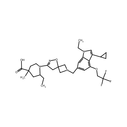 CCC1CC(C)(C(=O)O)CCN1C1=NOC2(C1)CN(Cc1cc(OCC(F)(F)F)c3c(C4CC4)cn(CC)c3c1)C2